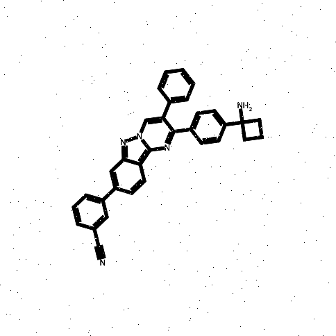 N#Cc1cccc(-c2ccc3c(c2)nn2cc(-c4ccccc4)c(-c4ccc(C5(N)CCC5)cc4)nc32)c1